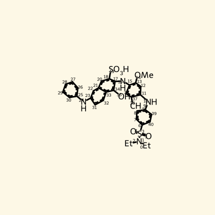 CCN(CC)S(=O)(=O)c1ccc(Nc2cc(OC)c(Nc3c(S(=O)(=O)O)cc4cc(Nc5ccccc5)ccc4c3O)cc2C)cc1